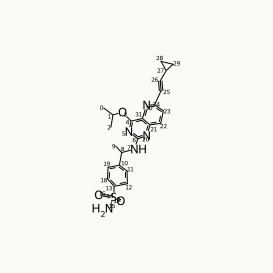 CC(C)Oc1nc(NC(C)c2ccc(S(N)(=O)=O)cc2)nc2ccc(C#CC3CC3)nc12